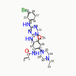 C=CC(=O)Nc1cc(Nc2ncnc(Nc3cccc(Br)c3)n2)c(OC)cc1N1CCN(CC)CC1